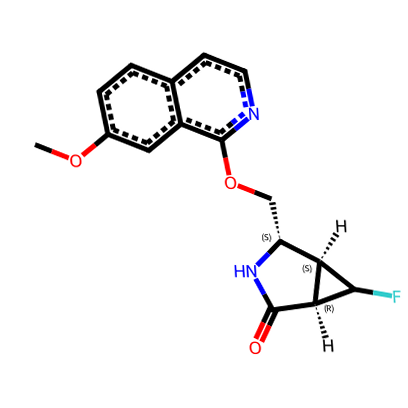 COc1ccc2ccnc(OC[C@H]3NC(=O)[C@@H]4C(F)[C@@H]43)c2c1